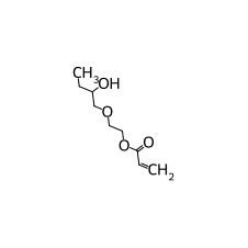 C=CC(=O)OCCOCC(O)CC